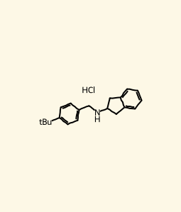 CC(C)(C)c1ccc(CNC2Cc3ccccc3C2)cc1.Cl